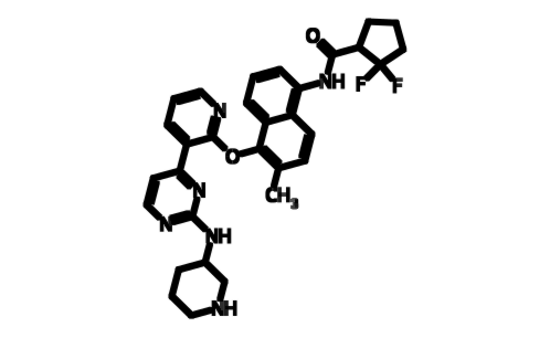 Cc1ccc2c(NC(=O)C3CCCC3(F)F)cccc2c1Oc1ncccc1-c1ccnc(NC2CCCNC2)n1